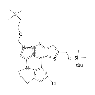 CC(C)(C)[Si](C)(C)OCc1cc2nccc(-c3cc(Cl)cc4c3N(c3cnn(COCC[Si](C)(C)C)c3)CC=C4)c2s1